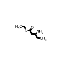 CCOC(=O)C=C(N)CC